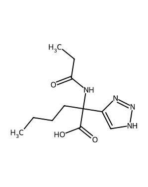 CCCCC(NC(=O)CC)(C(=O)O)c1c[nH]nn1